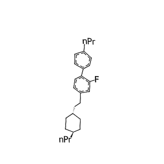 CCCc1ccc(-c2ccc(CC[C@H]3CC[C@H](CCC)CC3)cc2F)cc1